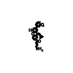 COc1cc(-c2c[nH]c(=O)c(N(CC3CC3)[C@@H]3CCCN(C(=O)/C=C/CN)C3)c2)ccn1